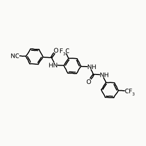 N#Cc1ccc(C(=O)Nc2ccc(NC(=O)Nc3cccc(C(F)(F)F)c3)cc2C(F)(F)F)cc1